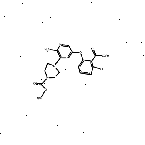 COC(=O)c1c(Cl)cccc1Oc1cnc(N)c(N2CCN(C(=O)OC(C)(C)C)CC2)c1